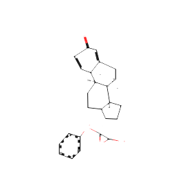 C[C@]12CC[C@H]3[C@@H](CCC4=CC(=O)C=C[C@@]43C)[C@@H]1CC[C@@H]2C1(Oc2ccccc2)OC1O